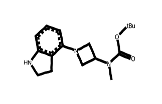 CN(C(=O)OC(C)(C)C)C1CN(c2cccc3c2CCN3)C1